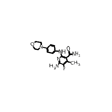 Cc1c(F)c(N)nc(Nc2ccc(N3CCOCC3)cc2)c1C(N)=O